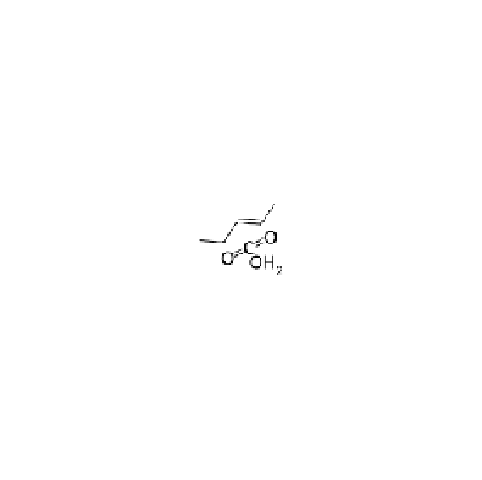 CC=CCC.O.O=C=O